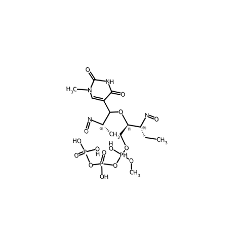 CC[C@@H](N=O)[C@@H](CO[PH](O)(OC)OP(=O)(O)OP(=O)(O)O)OC(c1cn(C)c(=O)[nH]c1=O)[C@H](C)N=O